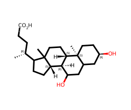 C[C@H](CCC(=O)O)C1CC[C@H]2[C@@H]3C(O)CC4C[C@H](O)CC[C@]4(C)[C@H]3CCC12C